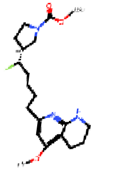 CC(C)Oc1cc(CCCCC(F)[C@@H]2CCN(C(=O)OC(C)(C)C)C2)nc2c1CCCN2